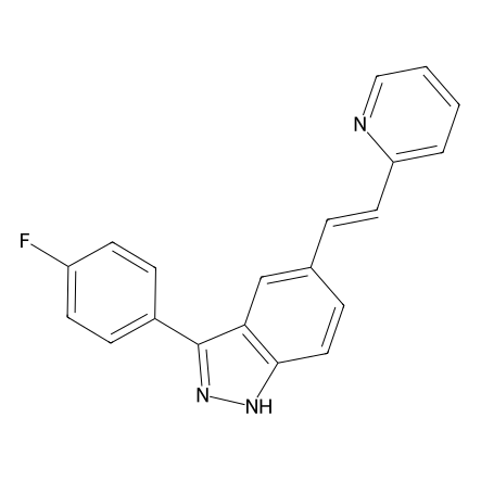 Fc1ccc(-c2n[nH]c3ccc(C=Cc4ccccn4)cc23)cc1